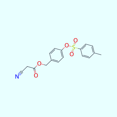 Cc1ccc(S(=O)(=O)Oc2ccc(COC(=O)CC#N)cc2)cc1